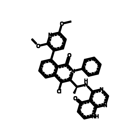 COc1ccc(-c2cccc3c(Cl)c([C@H](C)Nc4ncnc5[nH]ccc(=O)c45)n(-c4ccccc4)c(=O)c23)c(OC)n1